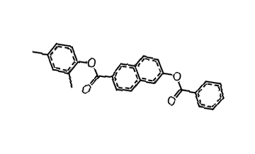 Cc1ccc(OC(=O)c2ccc3cc(OC(=O)c4ccccc4)ccc3c2)c(C)c1